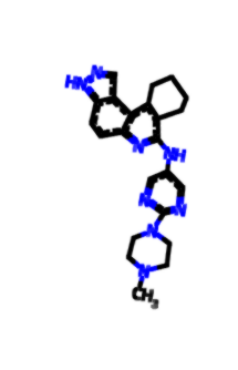 CN1CCN(c2ncc(Nc3nc4ccc5[nH]ncc5c4c4c3CCCC4)cn2)CC1